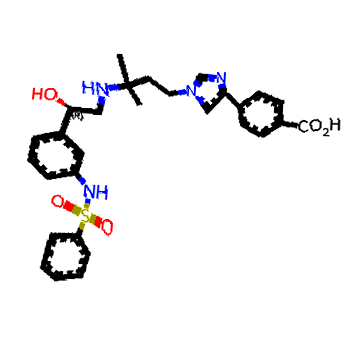 CC(C)(CCn1cnc(-c2ccc(C(=O)O)cc2)c1)NC[C@H](O)c1cccc(NS(=O)(=O)c2ccccc2)c1